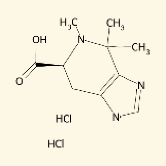 CN1[C@H](C(=O)O)CC2=C(N=C[N]2)C1(C)C.Cl.Cl